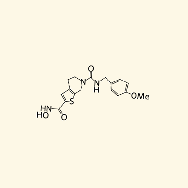 COc1ccc(CNC(=O)N2CCc3cc(C(=O)NO)sc3C2)cc1